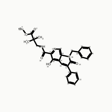 CC(C)(C)OC(=O)C(C)(C)CNC(=O)c1ncc2c(cc(-c3ccccc3)c(=O)n2Cc2ccccc2)c1O